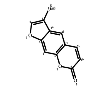 CC(C)(C)c1coc2cc3oc(=O)ccc3cc12